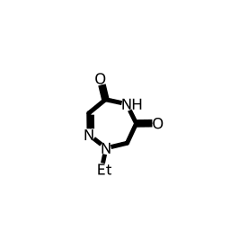 CCN1CC(=O)NC(=O)C=N1